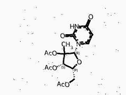 CC(=O)OC[C@H]1O[C@@H](n2ccc(=O)[nH]c2=O)C(C)(OC(C)=O)[C@H]1OC(C)=O